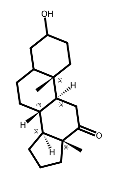 C[C@@]12CCC[C@H]1[C@@H]1CCC3CC(O)CC[C@]3(C)[C@H]1CC2=O